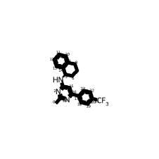 Cc1nc(N[C@@H]2CCCc3ccccc32)cc(-c2ccc(C(F)(F)F)cc2)n1